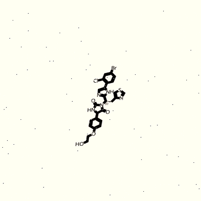 O=C1NC(c2ccc(OCCO)cc2)C(=O)N1[C@@H](Cc1cscn1)c1ncc(-c2ccc(Br)cc2Cl)[nH]1